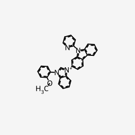 COc1ccccc1-n1c[n+](-c2ccc3c4ccccc4n(-c4ccccn4)c3c2)c2ccccc21